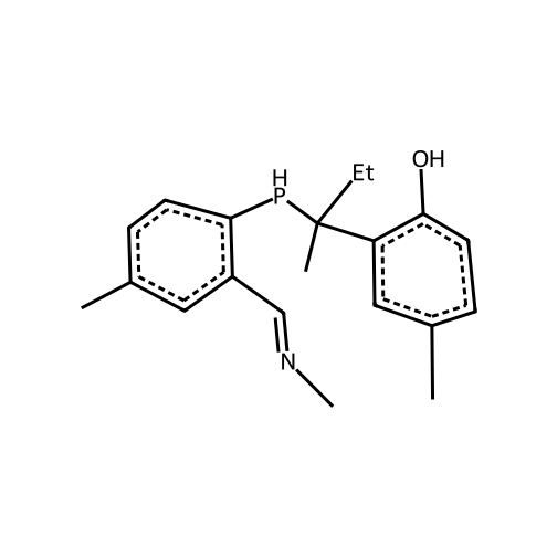 CCC(C)(Pc1ccc(C)cc1/C=N/C)c1cc(C)ccc1O